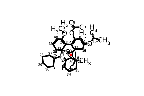 COC1=C(c2c(OC(C)C)cc(OC(C)C)cc2OC(C)C)C(OC)(P(C2CCCCC2)C2CCCCC2)CC=C1